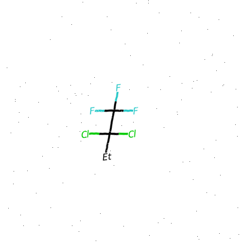 CCC(Cl)(Cl)C(F)(F)F